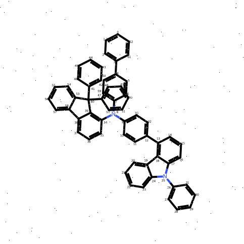 c1ccc(-c2ccc(N(c3ccc(-c4cccc5c4c4ccccc4n5-c4ccccc4)cc3)c3cccc4c3C(c3ccccc3)(c3ccccc3)c3ccccc3-4)cc2)cc1